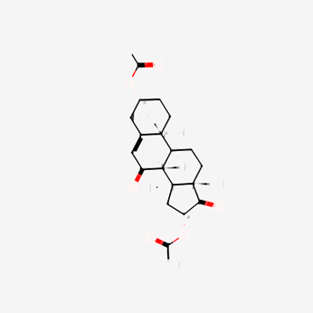 CC(=O)O[C@@H]1CC[C@@]2(C)C(=CC(=O)[C@@H]3[C@@H]2CC[C@]2(C)C(=O)[C@H](OC(C)=O)C[C@@H]32)C1